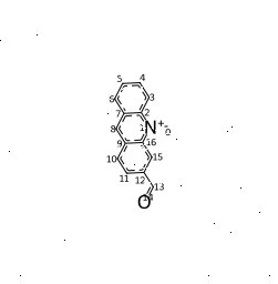 C[n+]1c2ccccc2cc2ccc(C=O)cc21